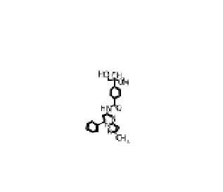 Cc1cc2nc(NC(=O)c3ccc([C@](C)(O)CO)cc3)cc(-c3ccccc3)n2n1